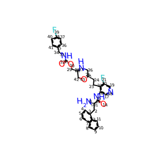 N[C@@H](Cc1cccc2ccccc12)C(=O)Nc1cncc(F)c1CC[C@@H]1CN[C@H](COC(=O)NCc2ccc(F)cc2)CO1